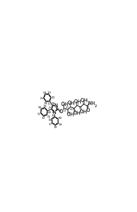 NC(=O)C(O)C(O)C(O)C(O)C(O)C(O)C(O)Oc1nc(-c2ccccc2)c(-c2ccccc2)n1-c1ccccc1